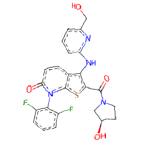 O=C(c1sc2c(ccc(=O)n2-c2c(F)cccc2F)c1Nc1cccc(CO)n1)N1CC[C@@H](O)C1